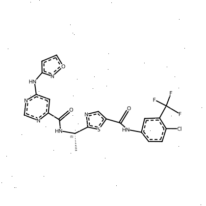 C[C@H](NC(=O)c1cc(Nc2ccon2)ncn1)c1ncc(C(=O)Nc2ccc(Cl)c(C(F)(F)F)c2)s1